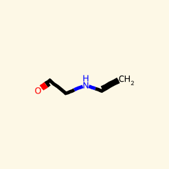 C=CNCC=O